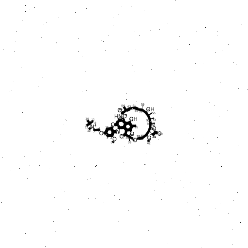 COc1cc(OCC[N+](C)(C)C(C)(C)C)cc2oc3c4c(=O)c5c(O)c(C)c6c(c5c-3nc12)C(=O)[C@@](C)(O/C=C/[C@H](OC)[C@@H](C)[C@@H](OC(C)=O)[C@H](C)[C@H](C)[C@H](C)[C@@H](O)[C@@H](C)/C=C/C=C(/C)C(=O)N4)O6